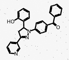 O=C(c1ccccc1)c1ccc(N2N=C(c3cccnc3)CC2c2ccccc2O)cc1